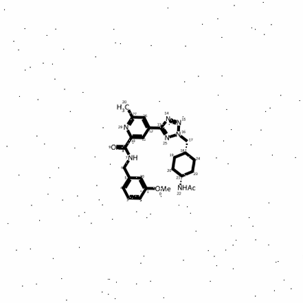 COc1cccc(CNC(=O)c2cc(-c3nnn(C[C@H]4CC[C@@H](NC(C)=O)CC4)n3)cc(C)n2)c1